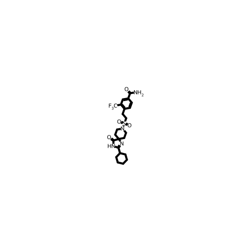 NC(=O)c1ccc(CCS(=O)(=O)N2CCC3(CC2)N=C(C2CCCCC2)NC3=O)c(C(F)(F)F)c1